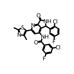 Cc1nc(C)c(-c2cc(NC(=O)c3cc(F)cc(Cl)c3)c3c(n2)C(=O)NC3c2cc(F)ccc2Cl)s1